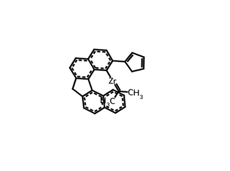 C[C](C)=[Zr][c]1c(C2=CC=CC2)ccc2ccc3c(c12)-c1c(ccc2ccccc12)C3